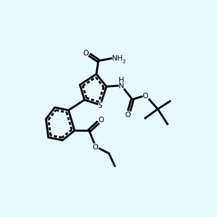 CCOC(=O)c1ccccc1-c1cc(C(N)=O)c(NC(=O)OC(C)(C)C)s1